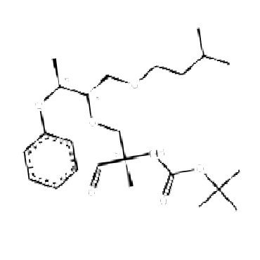 CC(C)CCOC[C@@H](OC[C@@](C)(C=O)NC(=O)OC(C)(C)C)[C@H](C)Oc1ccccc1